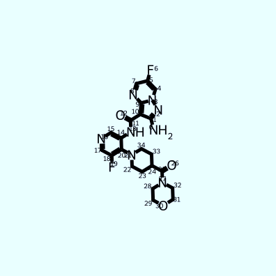 Nc1nn2cc(F)cnc2c1C(=O)Nc1cncc(F)c1N1CCC(C(=O)N2CCOCC2)CC1